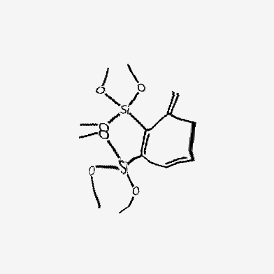 C=C1CC=CC([Si](OC)(OC)OC)=C1[Si](OC)(OC)OC